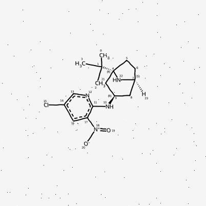 CC(C)(C)[C@@]12CC[C@@H](C[C@@H](Nc3ncc(Cl)cc3[N+](=O)[O-])C1)N2